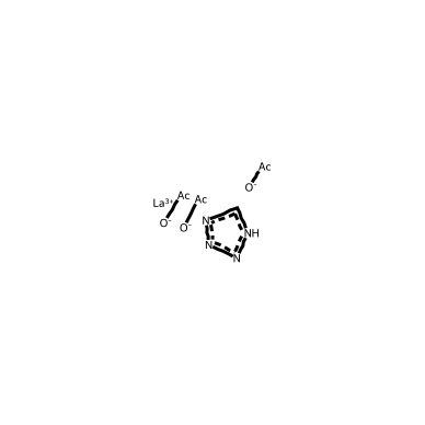 CC(=O)[O-].CC(=O)[O-].CC(=O)[O-].[La+3].c1nnn[nH]1